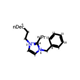 CCCCCCCCCCCC[n+]1ccn(Cc2ccccc2)c1C(C)C